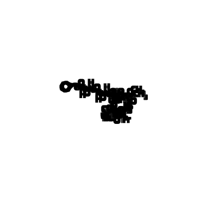 C#CCCCON(C(=O)[C@@H](NC(=O)[C@H]1CCCCN1C)[C@@H](C)CC)[C@H](C[C@@H](OC(C)=O)c1nc(C(=O)N[C@@H](Cc2ccc(NC(=O)CNC(=O)CNC(=O)CNC(=O)CNC(=O)OCC3C4CCC#CCCC43)cc2)CC(C)(C)C(=O)O)cs1)C(C)C